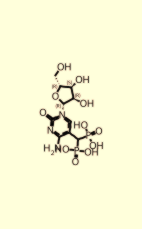 Nc1nc(=O)n([C@@H]2O[C@H](CO)[C@@H](O)[C@H]2O)cc1C(P(=O)(O)O)P(=O)(O)O